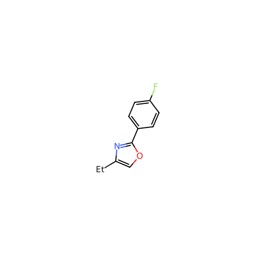 CCc1coc(-c2ccc(F)cc2)n1